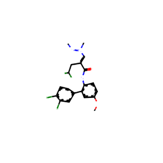 CNN(C)/C=C(\CC(F)F)C(=O)Nc1ccc(OC)cc1-c1ccc(Cl)c(Cl)c1